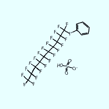 FC(F)(F)C(F)(F)C(F)(F)C(F)(F)C(F)(F)C(F)(F)C(F)(F)C(F)(F)C(F)(F)C(F)(F)[I+]c1ccccc1.O=S(=O)([O-])O